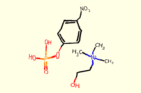 C[N+](C)(C)CCO.O=[N+]([O-])c1ccc(OP(=O)(O)O)cc1